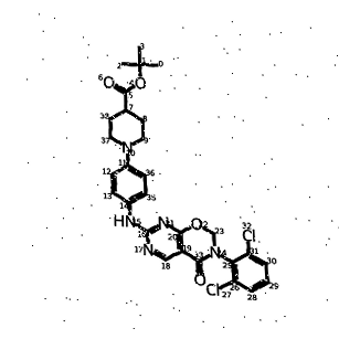 CC(C)(C)OC(=O)C1CCN(c2ccc(Nc3ncc4c(n3)OCN(c3c(Cl)cccc3Cl)C4=O)cc2)CC1